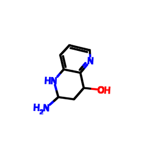 NC1CC(O)c2ncccc2N1